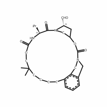 CC(C)[C@@H]1NC(=O)OCC(C)(C)CCCCc2cccc3c2CN(C3)C(=O)OC2C[C@@H](C=O)N(C2)C1=O